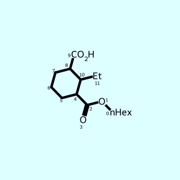 CCCCCCOC(=O)C1CCCC(C(=O)O)C1CC